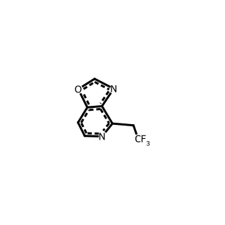 FC(F)(F)Cc1nccc2ocnc12